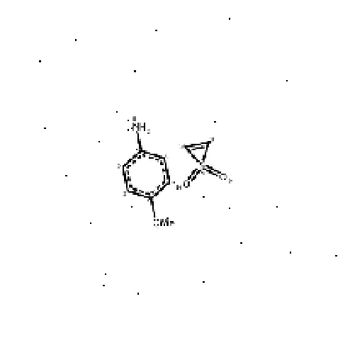 COc1ccc(N)cc1.O=S1(=O)C=C1